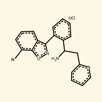 Cl.NC(Cc1ccccn1)c1ccccc1-c1noc2c(Br)cccc12